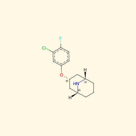 Fc1ccc(O[C@H]2C[C@H]3CCC[C@@H](C2)N3)cc1Cl